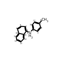 Cc1ccc([SiH2]c2cccc3ccccc23)cc1